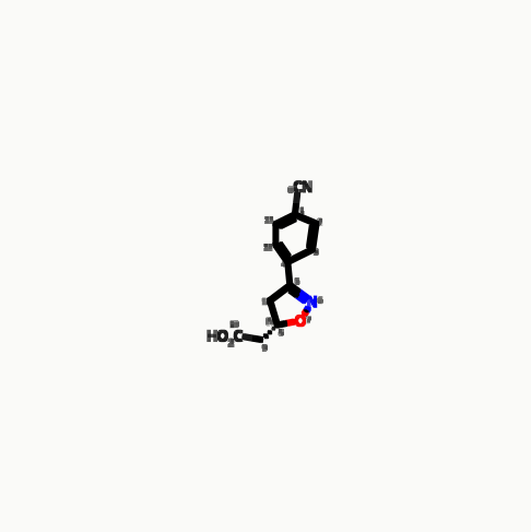 N#Cc1ccc(C2=NO[C@H](CC(=O)O)C2)cc1